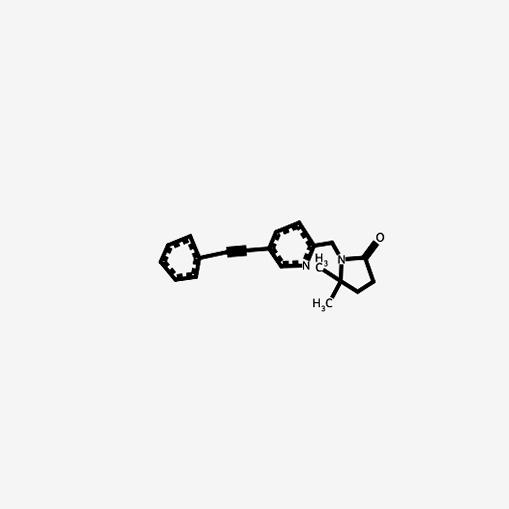 CC1(C)CCC(=O)N1Cc1ccc(C#Cc2ccccc2)cn1